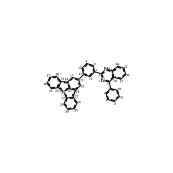 c1ccc(-c2nc(-c3cccc(-c4cc5c6ccccc6n6c7ccccc7c(c4)c56)c3)nc3ccccc23)cc1